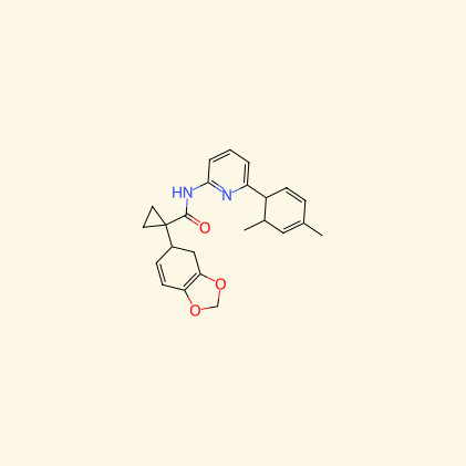 CC1=CC(C)C(c2cccc(NC(=O)C3(C4C=CC5=C(C4)OCO5)CC3)n2)C=C1